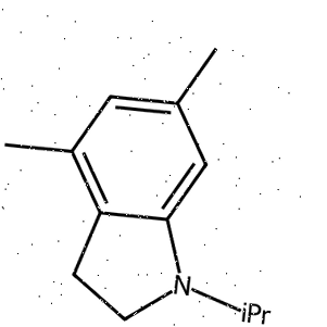 Cc1cc(C)c2c(c1)N(C(C)C)CC2